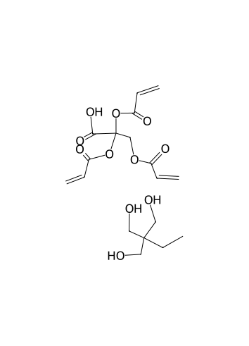 C=CC(=O)OCC(OC(=O)C=C)(OC(=O)C=C)C(=O)O.CCC(CO)(CO)CO